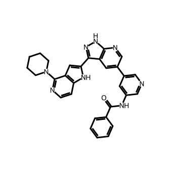 O=C(Nc1cncc(-c2cnc3[nH]nc(-c4cc5c(N6CCCCC6)nccc5[nH]4)c3c2)c1)c1ccccc1